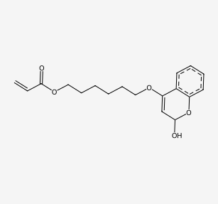 C=CC(=O)OCCCCCCOC1=CC(O)Oc2ccccc21